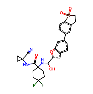 N#CC1(NC(=O)C2(NC(O)c3cc4ccc(-c5ccc6c(c5)CCS6(=O)=O)cc4o3)CCC(F)(F)CC2)CC1